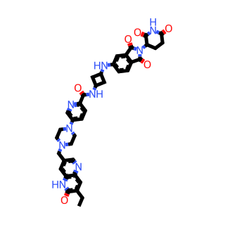 CCc1cc2ncc(CN3CCN(c4ccc(C(=O)NC5CC(Nc6ccc7c(c6)C(=O)N(C6CCC(=O)NC6=O)C7=O)C5)nc4)CC3)cc2[nH]c1=O